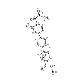 CN(C)C(=O)c1ccc(-c2ccc(N3CC4CCC3CN4C(O)OC(C)(C)C)c(Cl)c2)cc1Cl